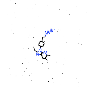 CCc1nc2cc(C)c(C)nc2n1-c1ccc(CCN=[N+]=[N-])cc1